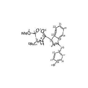 COC(=O)[C@@H](NC(=O)c1nn(Cc2ccc(F)cc2)c2ccccc12)C(C)(C)C